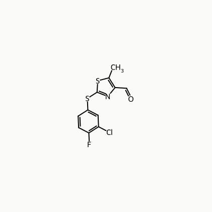 Cc1sc(Sc2ccc(F)c(Cl)c2)nc1C=O